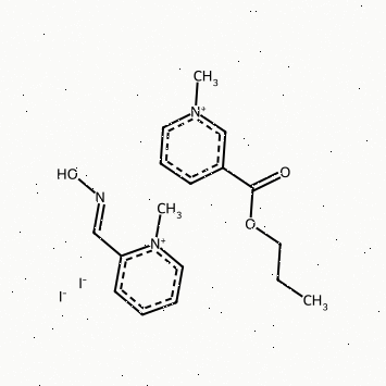 CCCOC(=O)c1ccc[n+](C)c1.C[n+]1ccccc1C=NO.[I-].[I-]